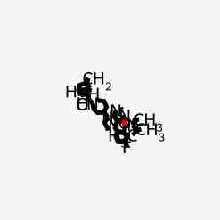 C=C1C[C@@H]2CCC1[C@@H](C(=O)N1CCCC(N3CCN(c4ccc(F)cc4C(=O)N(CC)C(C)C)c4cncnc43)CC1)N2